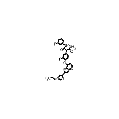 CCCn1cnc(-c2cc3nccc(Oc4ccc(C(C(N)=O)C(=O)Nc5cccc(F)c5)cc4F)c3s2)c1